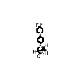 CC1(C)C[C@H]2CN(c3ccc(N4CCC(F)(F)CC4)cc3)[C@@H]1CNC2=O